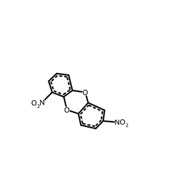 O=[N+]([O-])c1ccc2c(c1)Oc1cccc([N+](=O)[O-])c1O2